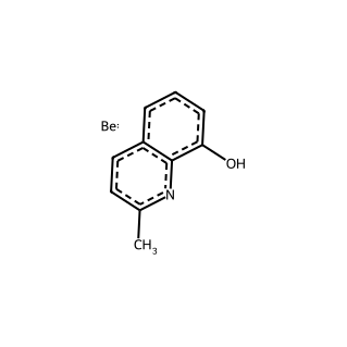 Cc1ccc2cccc(O)c2n1.[Be]